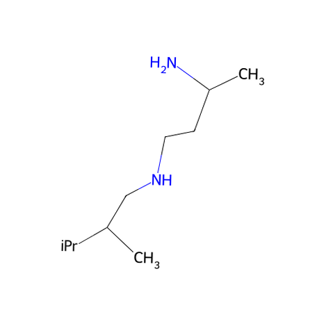 CC(N)CCNCC(C)C(C)C